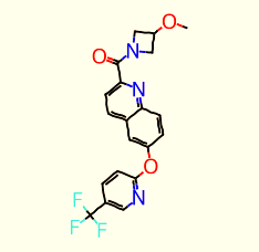 COC1CN(C(=O)c2ccc3cc(Oc4ccc(C(F)(F)F)cn4)ccc3n2)C1